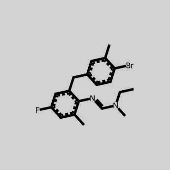 CCN(C)C=Nc1c(C)cc(F)cc1Cc1ccc(Br)c(C)c1